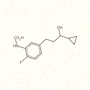 O=C(O)Nc1cc(CCC(O)C2CC2)ccc1F